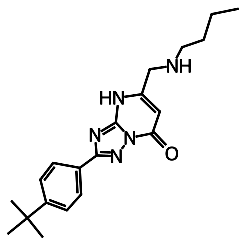 CCCCNCc1cc(=O)n2nc(-c3ccc(C(C)(C)C)cc3)nc2[nH]1